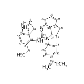 CCc1ccc(N)c(CC)c1NC(=O)N(c1ccc(C(C)C)cc1)C1CCC2C=CC=CC21